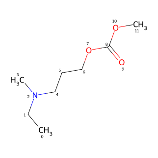 CCN(C)CCCOC(=O)OC